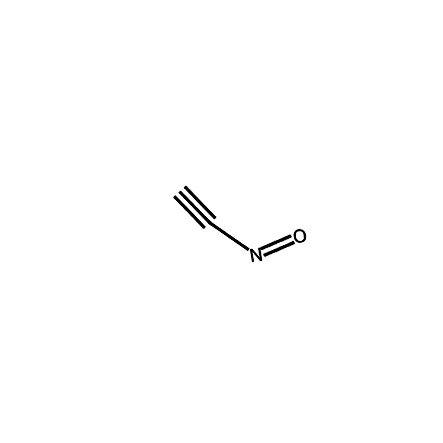 C#CN=O